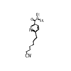 CCN(CC)C(=O)c1ccc(CCCCCCC#N)nc1